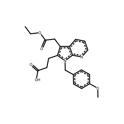 CCOC(=O)Cc1c(CCC(=O)O)n(Cc2ccc(OC)cc2)c2ncccc12